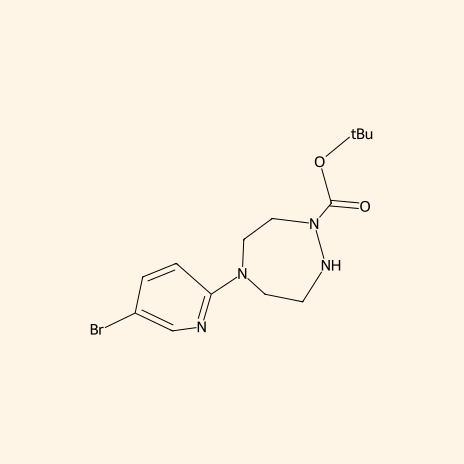 CC(C)(C)OC(=O)N1CCN(c2ccc(Br)cn2)CCN1